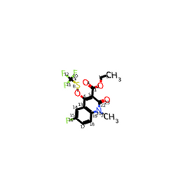 CCOC(=O)c1c(OSC(F)(F)F)c2cc(F)ccc2n(C)c1=O